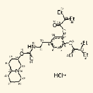 CCC(CC)C(=O)Oc1ccc(CCNC(=O)OC2CCC3CCCCN3C2)cc1OC(=O)C(CC)CC.Cl